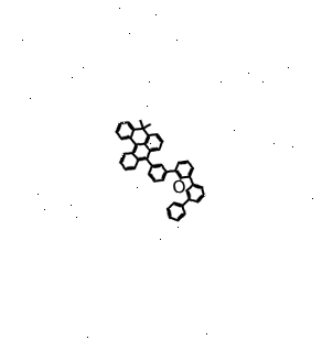 CC1(C)c2ccccc2-c2c3ccccc3c(-c3cccc(-c4cccc5c4oc4c(-c6ccccc6)cccc45)c3)c3cccc1c23